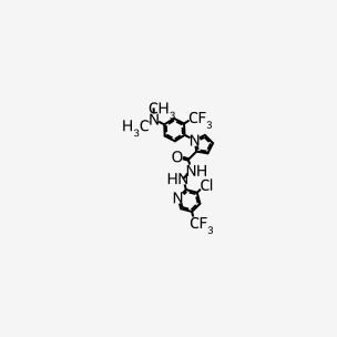 CN(C)c1ccc(-n2cccc2C(=O)NNc2ncc(C(F)(F)F)cc2Cl)c(C(F)(F)F)c1